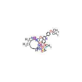 COc1ccc2c(O[C@@H]3CC4C(=O)N[C@]5(C(=O)NS(=O)(=O)C6(CF)CC6)C[C@H]5/C=C\CCC(C)C[C@@H](C)[C@H](N)C(=O)N4C3)cc(-c3ccc(OC(C)C)cc3)nc2c1